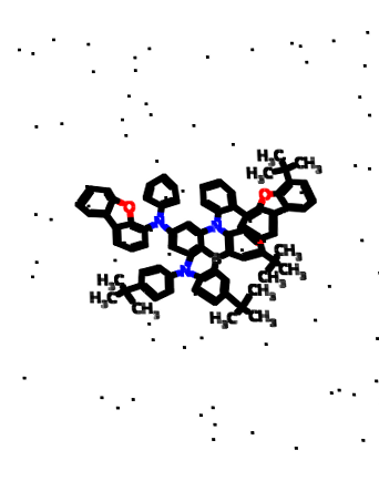 CC(C)(C)c1ccc(N2c3ccc(C(C)(C)C)cc3B3c4cc(C(C)(C)C)ccc4N(c4ccccc4-c4cccc5c4oc4c(C(C)(C)C)cccc45)c4cc(N(c5ccccc5)c5cccc6c5oc5ccccc56)cc2c43)cc1